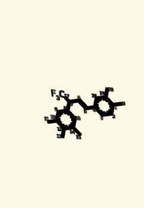 Cc1ccc(/C=C/C(c2cc(C)c(C)c(C)c2)C(F)(F)F)cc1C